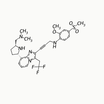 COc1cc(S(C)(=O)=O)ccc1NCC#Cc1nc2c([C@@H]3CC[C@@H](CN(C)C)N3)cccn2c1CC(F)(F)F